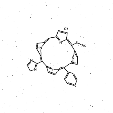 CC(=O)Sc1c2nc(cc3ccc([nH]3)c(C3=NCC=N3)c3nc(c(-c4ccccc4)c4ccc1[nH]4)C=C3)C=C2.[Zn]